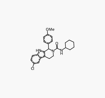 COc1ccc(C2c3[nH]c4ccc(Cl)cc4c3CCN2C(=O)NC2CCCCC2)cc1